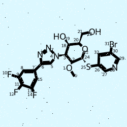 CO[C@@H]1[C@@H](n2cc(-c3cc(F)c(F)c(F)c3)nn2)[C@@H](O)[C@@H](CO)O[C@@H]1Sc1cncc(Br)c1